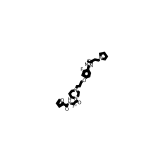 C[C@H](NC(=O)c1ccco1)C(=O)N1CCCN(CCCOc2ccc(-c3noc(CCN4CCCC4)n3)c(F)c2)CC1